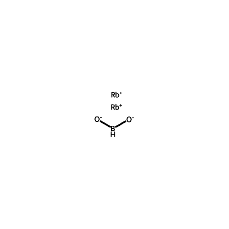 [O-]B[O-].[Rb+].[Rb+]